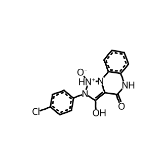 O=C1Nc2ccccc2N2C1=C(O)N(c1ccc(Cl)cc1)[NH+]2[O-]